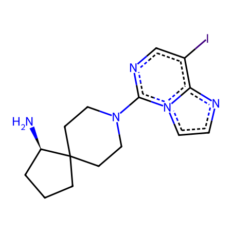 N[C@@H]1CCCC12CCN(c1ncc(I)c3nccn13)CC2